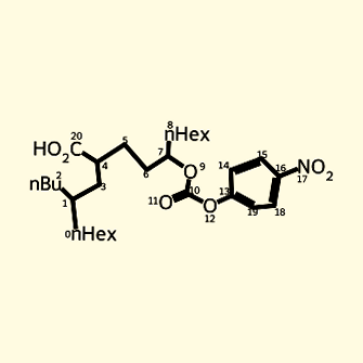 CCCCCCC(CCCC)CC(CCC(CCCCCC)OC(=O)Oc1ccc([N+](=O)[O-])cc1)C(=O)O